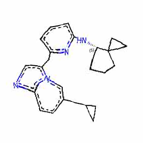 c1cc(N[C@H]2CCCC23CC3)nc(-c2cnc3ccc(C4CC4)cn23)c1